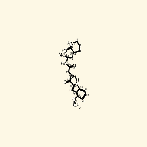 N#CC(C[C@@H]1CCCNC1=O)NC(=O)CNC(=O)c1cc2c(OC(F)(F)F)cccc2[nH]1